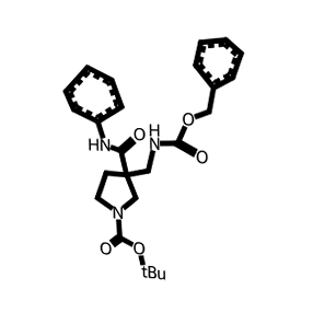 CC(C)(C)OC(=O)N1CCC(CNC(=O)OCc2ccccc2)(C(=O)Nc2ccccc2)C1